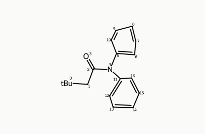 CC(C)(C)CC(=O)N(c1ccccc1)c1ccccc1